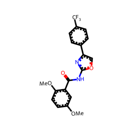 COc1ccc(OC)c(C(=O)Nc2nc(-c3ccc(C(F)(F)F)cc3)co2)c1